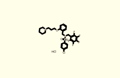 Cl.O=S(=O)(c1ccc(Cl)cc1)N(Cc1ccccc1OCCCN1CCCCC1)Cc1c(F)c(F)c(F)c(F)c1F